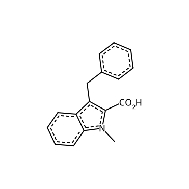 Cn1c(C(=O)O)c(Cc2ccccc2)c2ccccc21